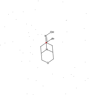 CC(C)CN1C2COCC1CC(=NO)C2